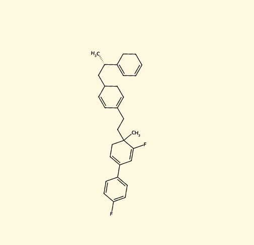 C[C@@H](CC1C=CC(CCC2(C)CC=C(c3ccc(F)cc3)C=C2F)=CC1)C1=CC=CCC1